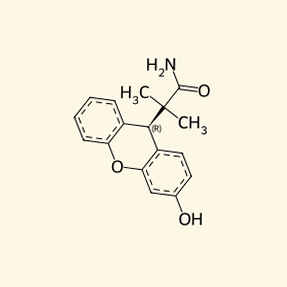 CC(C)(C(N)=O)[C@@H]1c2ccccc2Oc2cc(O)ccc21